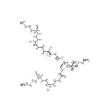 C/C(=C\COC[C@H](COP(=O)(O)OCCN)OC/C=C(\C)CCC[C@H](C)CCC[C@H](C)CCCC(C)C)CCC[C@H](C)CCC[C@H](C)CCCC(C)C